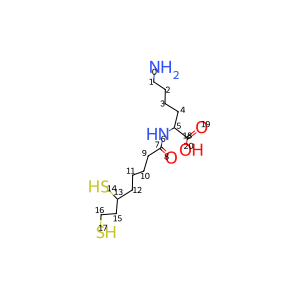 NCCCCC(NC(=O)CCCCC(S)CCS)C(=O)O